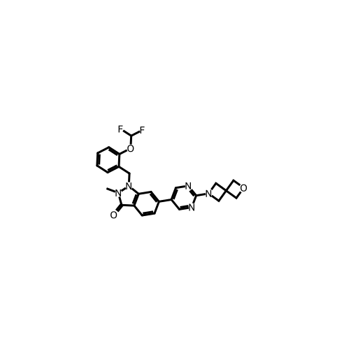 Cn1c(=O)c2ccc(-c3cnc(N4CC5(COC5)C4)nc3)cc2n1Cc1ccccc1OC(F)F